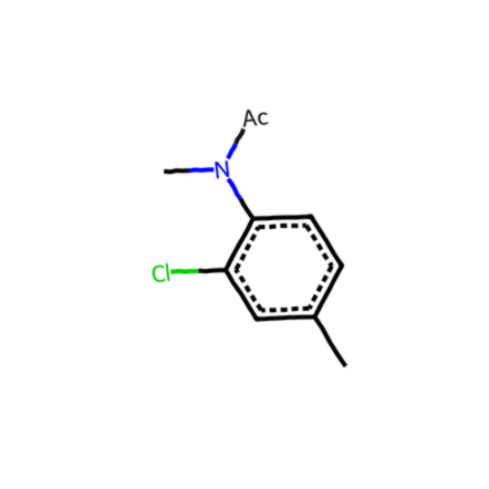 CC(=O)N(C)c1ccc(C)cc1Cl